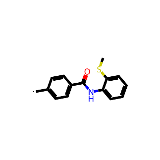 [CH2]c1ccc(C(=O)Nc2ccccc2SC)cc1